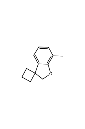 Cc1cccc2c1OCC21CCC1